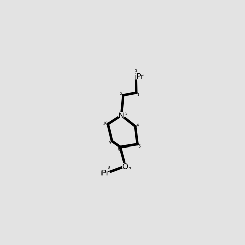 CC(C)CCN1CCC(OC(C)C)CC1